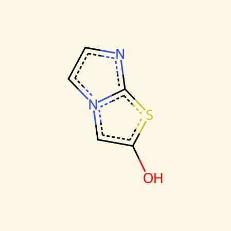 Oc1cn2ccnc2s1